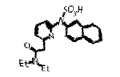 CCN(CC)C(=O)Cc1cccc(N(c2ccc3ccccc3c2)S(=O)(=O)O)n1